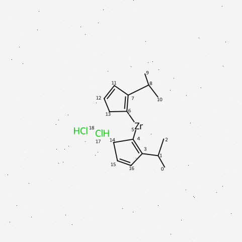 CC(C)C1=[C]([Zr][C]2=C(C(C)C)C=CC2)CC=C1.Cl.Cl